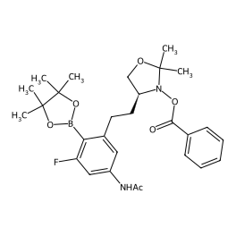 CC(=O)Nc1cc(F)c(B2OC(C)(C)C(C)(C)O2)c(CC[C@H]2COC(C)(C)N2OC(=O)c2ccccc2)c1